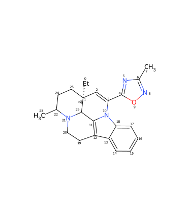 CC[C@@]12C=C(c3nc(C)no3)n3c4c(c5ccccc53)CCN(C(C)CC1)C42